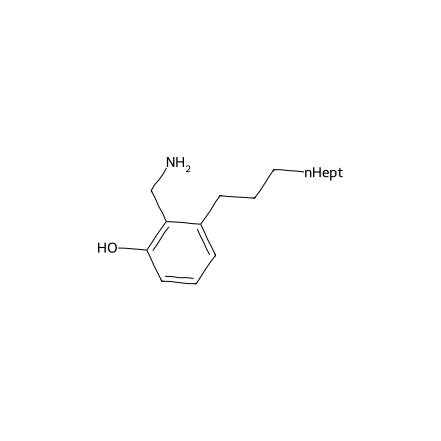 CCCCCCCCCCc1cccc(O)c1CN